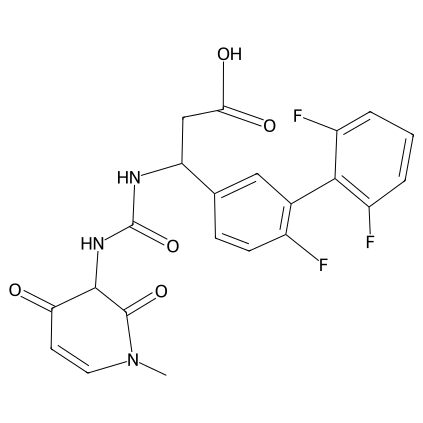 CN1C=CC(=O)C(NC(=O)NC(CC(=O)O)c2ccc(F)c(-c3c(F)cccc3F)c2)C1=O